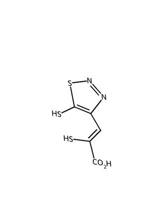 O=C(O)C(S)=Cc1nnsc1S